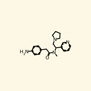 CN(C(=O)Cc1ccc(N)cc1)C(CN1CCCC1)c1cccnc1